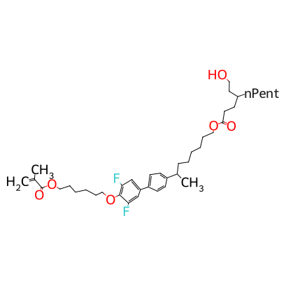 C=C(C)C(=O)OCCCCCCOc1c(F)cc(-c2ccc(C(C)CCCCCCOC(=O)CCC(CCO)CCCCC)cc2)cc1F